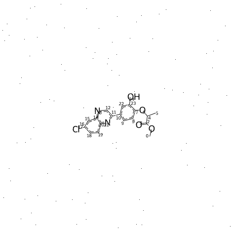 COC(=O)C(C)Oc1ccc(-c2cnc3cc(Cl)ccc3n2)cc1O